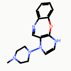 CN1CCN(n2cc[nH]c3oc4ccccc4ncc2=3)CC1